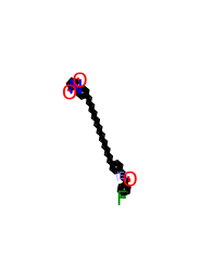 O=C(/C=C/c1ccc(CCCCCCCCCCCCCCCCCCc2ccc(N3C(=O)C=CC3=O)cc2)cc1)c1ccc(F)cc1